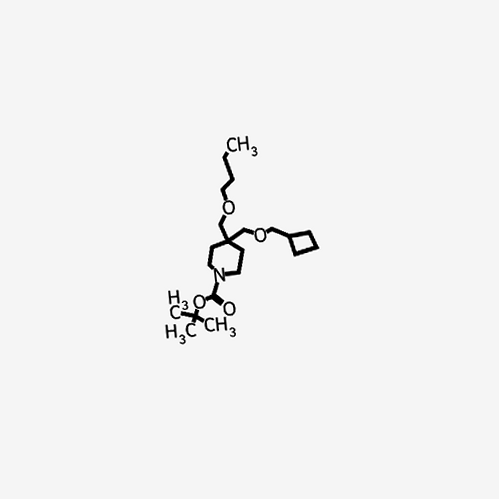 CCCCOCC1(COCC2CCC2)CCN(C(=O)OC(C)(C)C)CC1